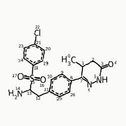 CC1CC(=O)NN=C1c1ccc(CC(N)S(=O)(=O)c2ccc(Cl)cc2)cc1